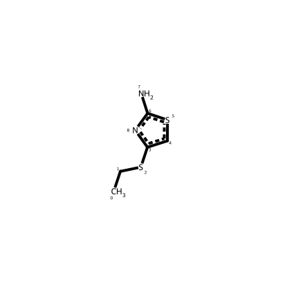 CCSc1csc(N)n1